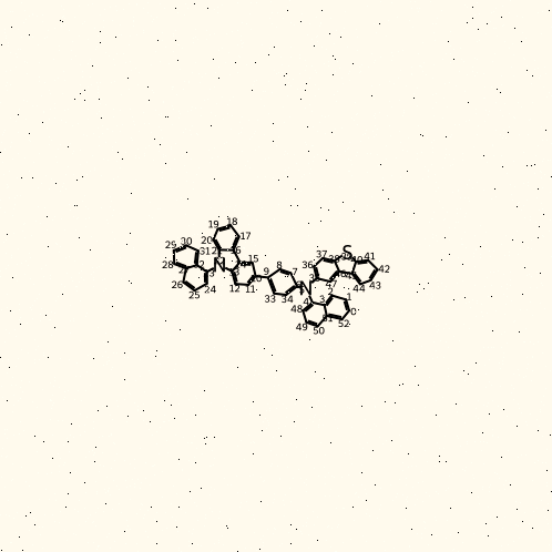 c1ccc2c(N(c3ccc(-c4ccc5c(c4)c4ccccc4n5-c4cccc5ccccc45)cc3)c3ccc4sc5ccccc5c4c3)cccc2c1